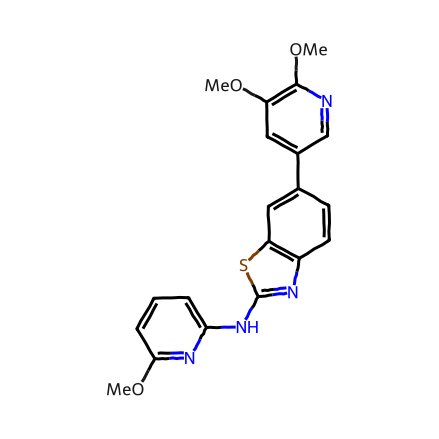 COc1cccc(Nc2nc3ccc(-c4cnc(OC)c(OC)c4)cc3s2)n1